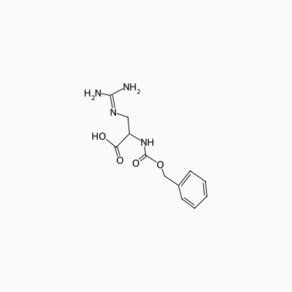 NC(N)=NCC(NC(=O)OCc1ccccc1)C(=O)O